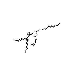 CCCCCCCCCCCCCC(COC(=O)C(CCCCCCC)CCCCCCC)OC(=O)CCCN(C)C